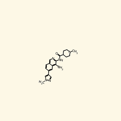 Bc1c(NC(=O)C2CCN(C)CC2)ncc2ccc(-c3cnn(C)c3)cc12